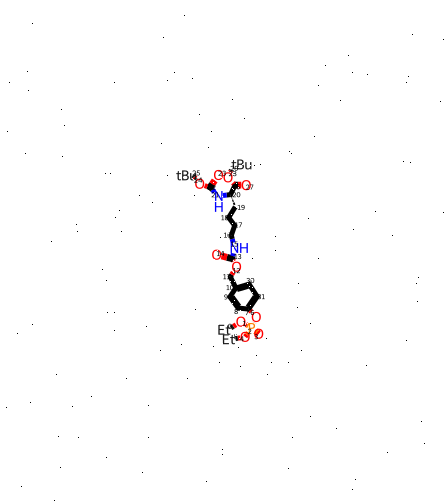 CCOP(=O)(OCC)Oc1ccc(COC(=O)NCCCC[C@H](NC(=O)OC(C)(C)C)C(=O)OC(C)(C)C)cc1